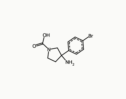 NC1(c2ccc(Br)cc2)CCN(C(=O)O)C1